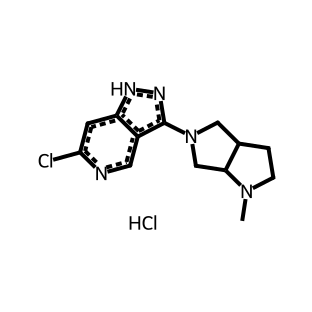 CN1CCC2CN(c3n[nH]c4cc(Cl)ncc34)CC21.Cl